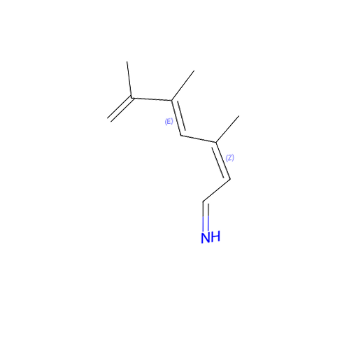 C=C(C)/C(C)=C/C(C)=C\C=N